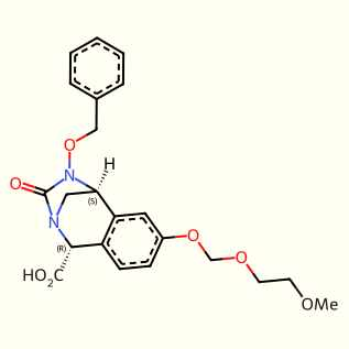 COCCOCOc1ccc2c(c1)[C@H]1CN(C(=O)N1OCc1ccccc1)[C@H]2C(=O)O